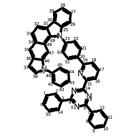 c1ccc(-c2nc(-c3ccccc3)nc(-c3cccc(-c4ccc(-n5c6ccccc6c6ccc7cc8ccn(-c9ccccc9)c8cc7c65)cc4)n3)n2)cc1